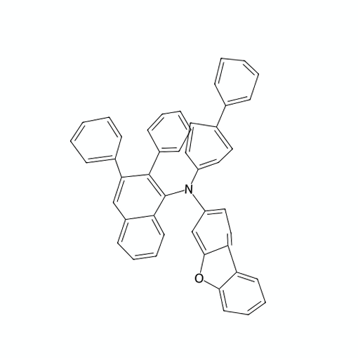 c1ccc(-c2ccc(N(c3ccc4c(c3)oc3ccccc34)c3c(-c4ccccc4)c(-c4ccccc4)cc4ccccc34)cc2)cc1